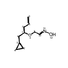 C=CCC(CC1CC1)OCC=NO